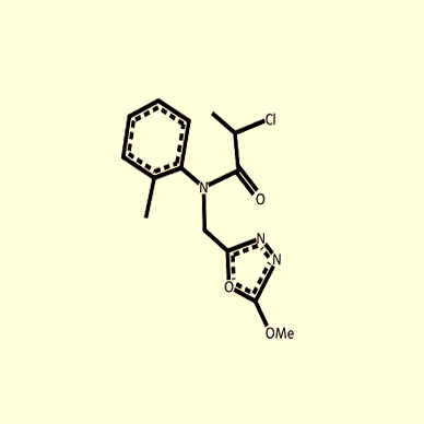 COc1nnc(CN(C(=O)C(C)Cl)c2ccccc2C)o1